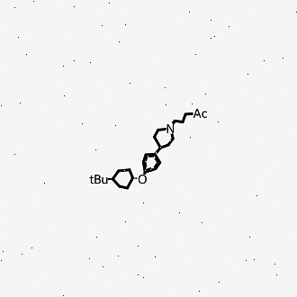 CC(=O)CCCN1CCC(c2ccc(O[C@H]3CC[C@H](C(C)(C)C)CC3)cc2)CC1